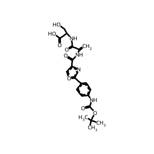 C=C(NC(=O)c1coc(-c2ccc(NC(=O)OC(C)(C)C)cc2)n1)C(=O)NC(CO)C(=O)O